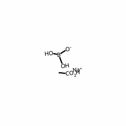 CC(=O)O.[Na+].[O-]B(O)O